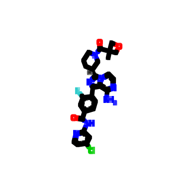 CC1(C(=O)N2CCC[C@@H](c3nc(-c4ccc(C(=O)Nc5cc(Cl)ccn5)cc4F)c4c(N)nccn34)C2)COC1